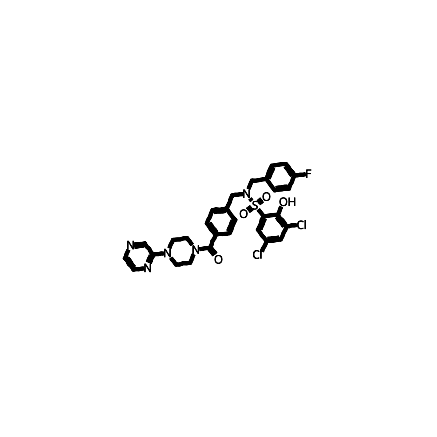 O=C(c1ccc(CN(Cc2ccc(F)cc2)S(=O)(=O)c2cc(Cl)cc(Cl)c2O)cc1)N1CCN(c2cnccn2)CC1